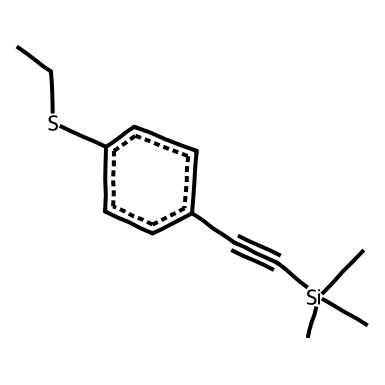 CCSc1ccc(C#C[Si](C)(C)C)cc1